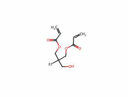 C=CC(=O)OCC(CC)(CO)COC(=O)C=C